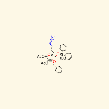 CC(=O)O[C@H]1O[C@](CCCN=[N+]=[N-])(CO[Si](c2ccccc2)(c2ccccc2)C(C)(C)C)[C@@H](OCc2ccccc2)[C@H]1OC(C)=O